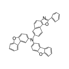 c1ccc(-c2nc3ccc4cc(N(c5ccc6oc7ccccc7c6c5)c5ccc6oc7ccccc7c6c5)ccc4c3o2)cc1